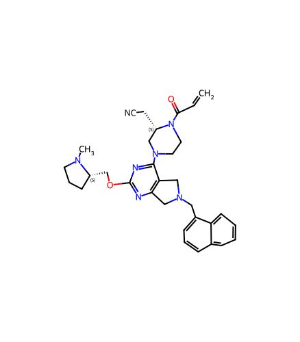 C=CC(=O)N1CCN(c2nc(OC[C@@H]3CCCN3C)nc3c2CN(Cc2cccc4ccccc24)C3)C[C@@H]1CC#N